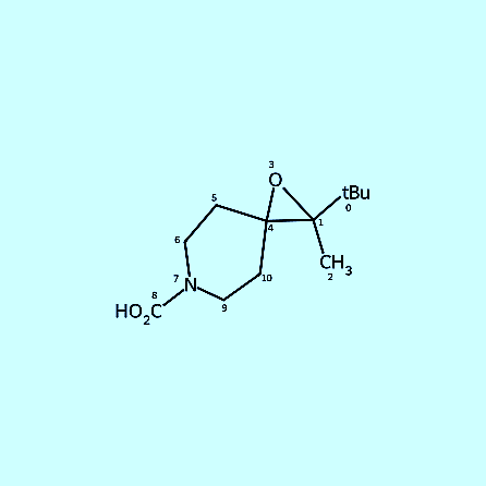 CC(C)(C)C1(C)OC12CCN(C(=O)O)CC2